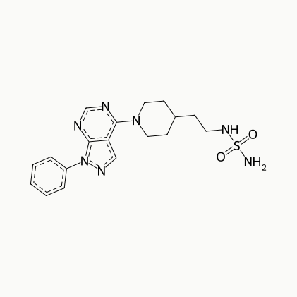 NS(=O)(=O)NCCC1CCN(c2ncnc3c2cnn3-c2ccccc2)CC1